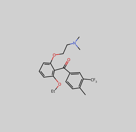 CCOc1cccc(OCCN(C)C)c1C(=O)c1ccc(C)c(C(F)(F)F)c1